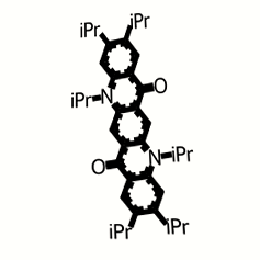 CC(C)c1cc2c(=O)c3cc4c(cc3n(C(C)C)c2cc1C(C)C)c(=O)c1cc(C(C)C)c(C(C)C)cc1n4C(C)C